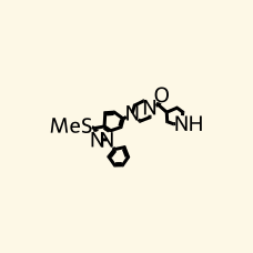 CSc1nn(-c2ccccc2)c2cc(N3CCN(C(=O)C4CCNCC4)CC3)ccc12